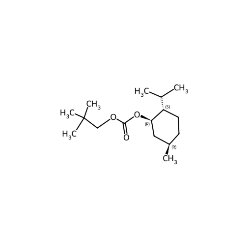 CC(C)[C@@H]1CC[C@@H](C)C[C@H]1OC(=O)OCC(C)(C)C